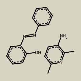 Cc1ccc(N)c(C)n1.Oc1ccccc1N=Nc1ccccc1